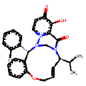 Cc1ccccc1[C@H]1c2ccccc2OC/C=C/[C@H](C(C)C)N2CN1n1ccc(=O)c(O)c1C2=O